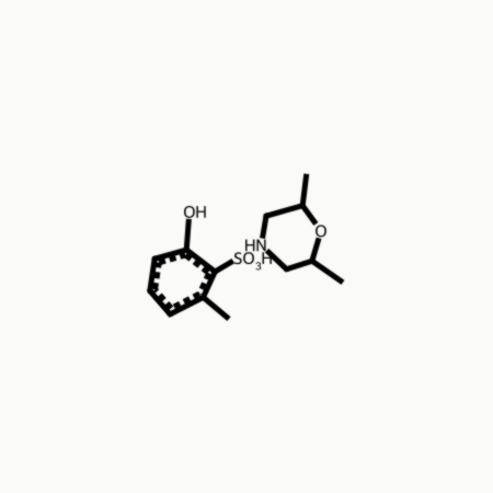 CC1CNCC(C)O1.Cc1cccc(O)c1S(=O)(=O)O